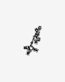 Cc1c(/C=C/c2cc(OCCOCCOCCN3CCN(CC(=O)OC(C)(C)C)CCN(CC(=O)OC(C)(C)C)CN(CC(=O)OC(C)(C)C)CC3)c(CN3CCCC[C@H]3C(=O)OC(C)(C)C)cc2C(F)(F)F)cccc1-c1ccccc1